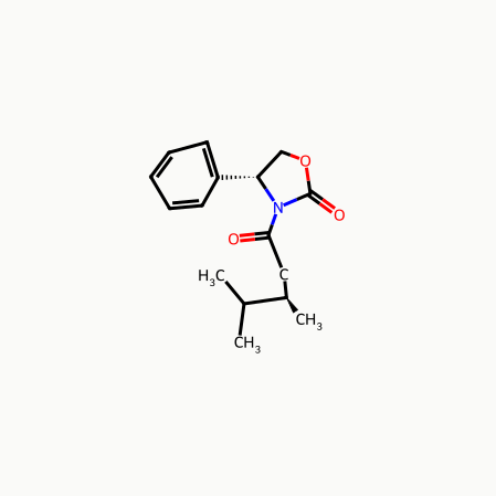 CC(C)[C@H](C)CC(=O)N1C(=O)OC[C@H]1c1ccccc1